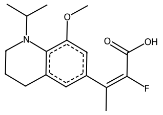 COc1cc(/C(C)=C(/F)C(=O)O)cc2c1N(C(C)C)CCC2